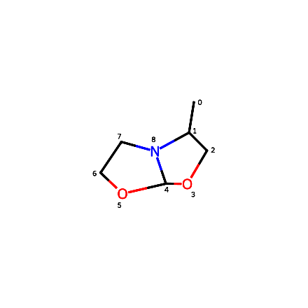 CC1COC2OCCN12